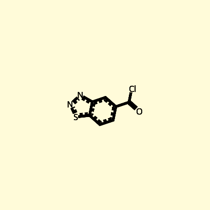 O=C(Cl)c1ccc2snnc2c1